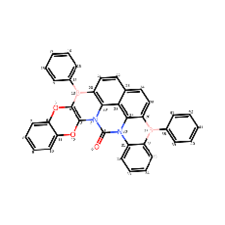 O=C1N2C3=C(Oc4ccccc4O3)B(c3ccccc3)c3ccc4ccc5c(c4c32)N1c1ccccc1B5c1ccccc1